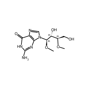 CO[C@H]([C@H](O)[C@@H](CO)OC)n1cnc2c(=O)[nH]c(N)nc21